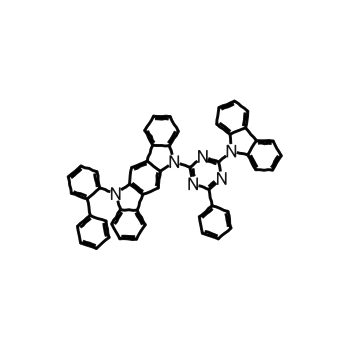 c1ccc(-c2nc(-n3c4ccccc4c4ccccc43)nc(-n3c4ccccc4c4cc5c(cc43)c3ccccc3n5-c3ccccc3-c3ccccc3)n2)cc1